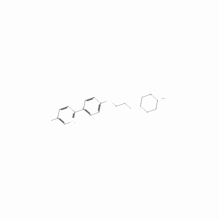 CCC[C@H]1CC[C@H](CCCOc2ccc(-c3ccc(CC)cn3)cc2)CC1